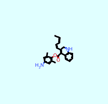 C/C=C\C=C/C1=C(C(=O)Oc2c(C)cc(N)cc2C)c2ccccc2NC1